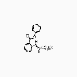 CCOC(=O)NNc1ccccc1C(=O)Oc1ccccc1